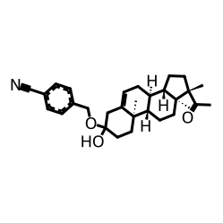 CC(=O)[C@@]1(C)CC[C@H]2[C@@H]3CC=C4CC(O)(OCc5ccc(C#N)cc5)CC[C@]4(C)[C@H]3CC[C@@]21C